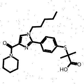 CCCCCn1cc(C(=O)N2CCCCC2)nc1-c1ccc(SC(C)(C)C(=O)O)cc1